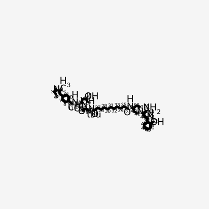 Cc1ncsc1-c1ccc([C@H](C)NC(=O)[C@@H]2C[C@@H](O)CN2C(=O)[C@@H](NC(=O)CCCCCCCCCC(=O)NC2CCN(c3cc(-c4ccccc4O)nnc3N)CC2)C(C)(C)C)cc1